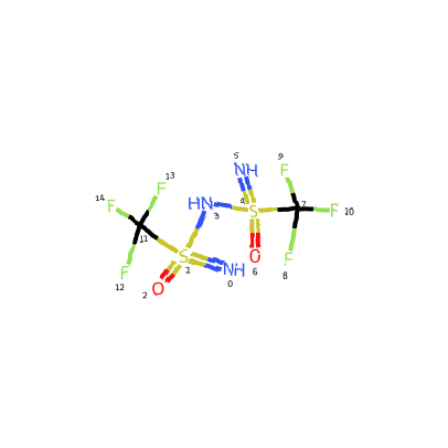 N=S(=O)(NS(=N)(=O)C(F)(F)F)C(F)(F)F